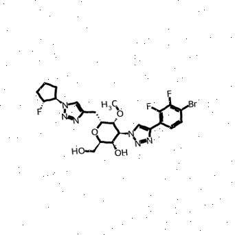 CO[C@@H]1[C@@H](n2cc(-c3ccc(Br)c(F)c3F)nn2)[C@@H](O)[C@@H](CO)O[C@@H]1Cc1cn([C@@H]2CCC[C@H]2F)nn1